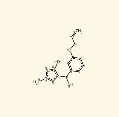 C=CCOc1cccc(C(O)c2cn(C)nc2CC)c1